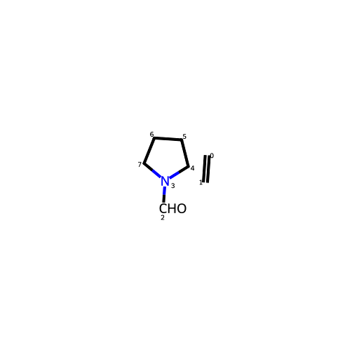 C=C.O=CN1CCCC1